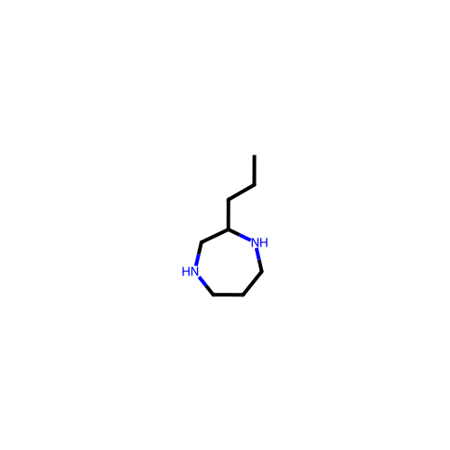 CCCC1CNCCCN1